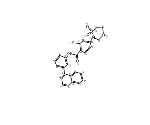 O=C(Nc1cccc(-c2nccc3ccccc23)c1)c1ccc(N2COCCS2(=O)=O)cc1F